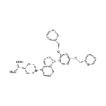 COC(OC)C1CCN(c2cccc3c2ccn3-c2ccc(OCc3ccccc3)nc2OCc2ccccc2)CC1